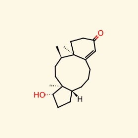 C[C@@H]1CC[C@@]2(C)[C@H](CCCC3=CC(=O)CC[C@@]31C)CC[C@@H]2O